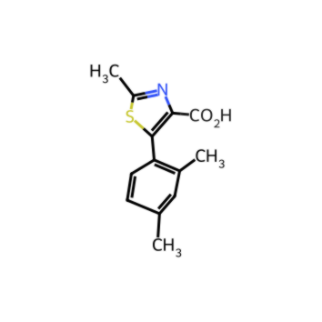 Cc1ccc(-c2sc(C)nc2C(=O)O)c(C)c1